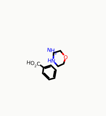 C1COCCN1.N.O=C(O)c1ccccc1